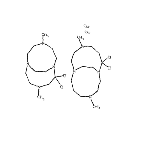 CN1CCCN2CCN(C)CCC(Cl)(Cl)N(CC1)CC2.CN1CCN2CCN(C)CC(Cl)(Cl)N(CC1)CC2.[Cu].[Cu]